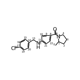 CC1CCCN1C(=O)c1ccc(NCc2ccc(Cl)cc2)cc1